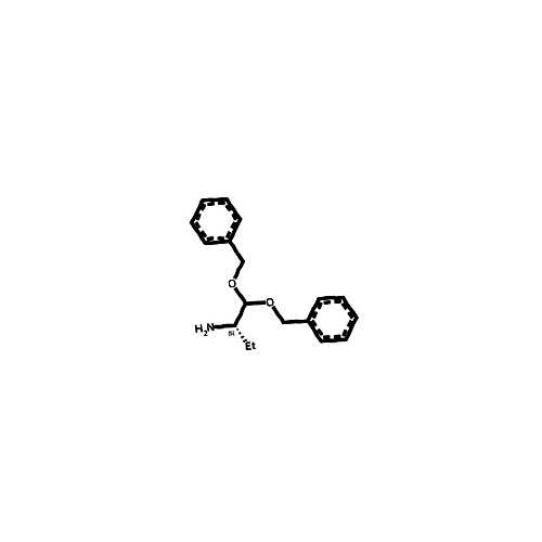 CC[C@H](N)C(OCc1ccccc1)OCc1ccccc1